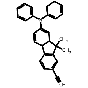 C#Cc1ccc2c(c1)C(C)(C)C1C=C(N(C3=CC=CCC3)c3ccccc3)C=CC21